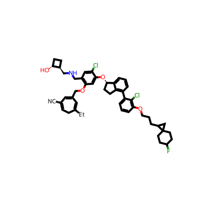 CCC1=CC(COc2cc(O[C@H]3CCc4c(-c5cccc(OCCCC6CC67CCC(F)CC7)c5Cl)cccc43)c(Cl)cc2CNC[C@@H]2CC[C@H]2O)=CC(C#N)=CC1